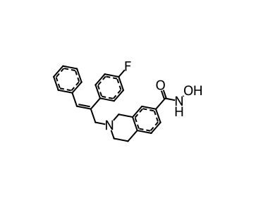 O=C(NO)c1ccc2c(c1)CN(CC(=Cc1ccccc1)c1ccc(F)cc1)CC2